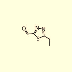 CCc1nnc(C=O)s1